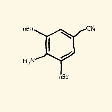 CCCCc1cc(C#N)cc(CCCC)c1N